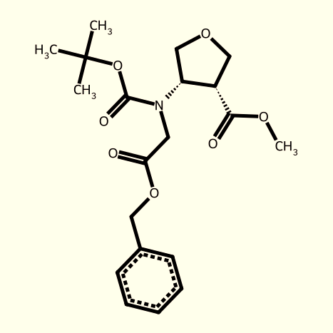 COC(=O)[C@H]1COC[C@H]1N(CC(=O)OCc1ccccc1)C(=O)OC(C)(C)C